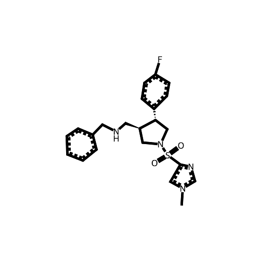 Cn1cnc(S(=O)(=O)N2C[C@@H](CNCc3ccccc3)[C@H](c3ccc(F)cc3)C2)c1